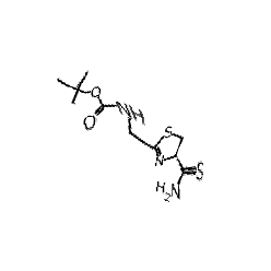 CC(C)(C)OC(=O)NCC1=N[C@H](C(N)=S)CS1